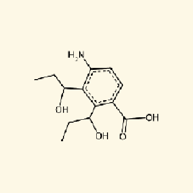 CCC(O)c1c(N)ccc(C(=O)O)c1C(O)CC